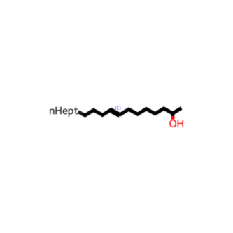 CCCCCCCCCC/C=C/CCCCCC(C)O